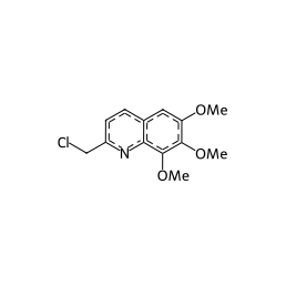 COc1cc2ccc(CCl)nc2c(OC)c1OC